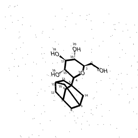 OC[C@H]1O[C](C23CC4CC(CC(C4)C2)C3)[C@H](O)[C@@H](O)[C@@H]1O